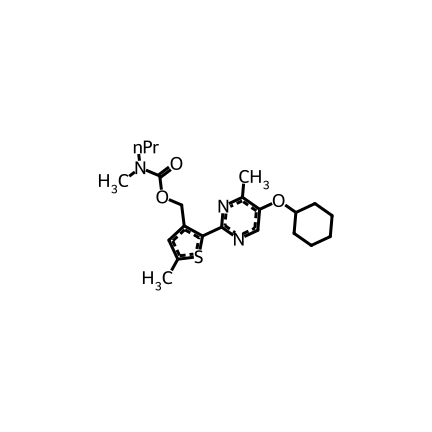 CCCN(C)C(=O)OCc1cc(C)sc1-c1ncc(OC2CCCCC2)c(C)n1